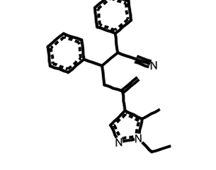 C=C(CC(c1ccccc1)C(C#N)c1ccccc1)c1cnn(CC)c1C